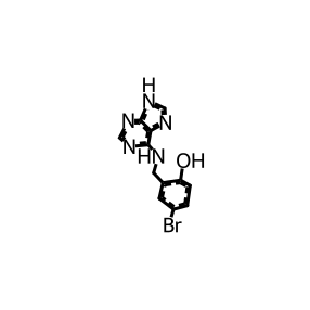 Oc1ccc(Br)cc1CNc1ncnc2[nH]cnc12